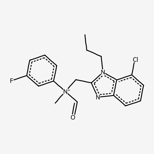 CCCn1c(C[N+](C)(C=O)c2cccc(F)c2)nc2cccc(Cl)c21